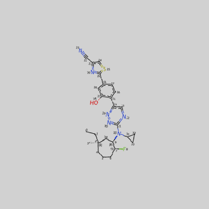 CC[C@]1(C)CCC[C@H](F)[C@H](N(c2ncc(-c3ccc(-c4nc(C#N)cs4)cc3O)nn2)C2CC2)C1